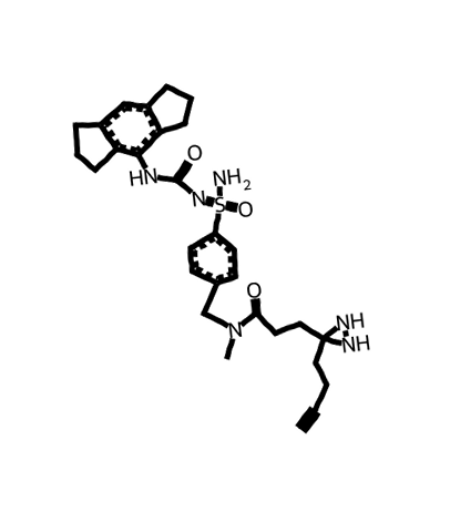 C#CCCC1(CCC(=O)N(C)Cc2ccc(S(N)(=O)=NC(=O)Nc3c4c(cc5c3CCC5)CCC4)cc2)NN1